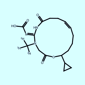 [2H]C([2H])([2H])N1CC(=O)OC(C2CC2)CCCC=CCCC(=O)NC1=NC(=O)O